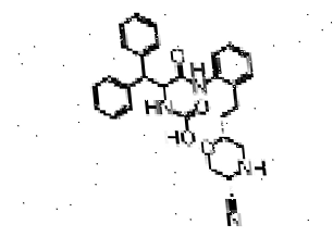 N#C[C@@H]1CO[C@H](CCc2ccccc2NC(=O)[C@@H](NC(=O)O)C(c2ccccc2)c2ccccc2)CN1